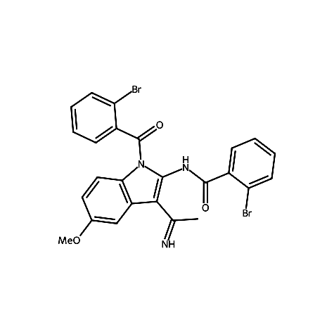 COc1ccc2c(c1)c(C(C)=N)c(NC(=O)c1ccccc1Br)n2C(=O)c1ccccc1Br